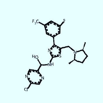 C[C@@H]1CC[C@H](C)N1Cc1sc(NC(O)c2cnc(Cl)cn2)nc1-c1cc(F)cc(C(F)(F)F)c1